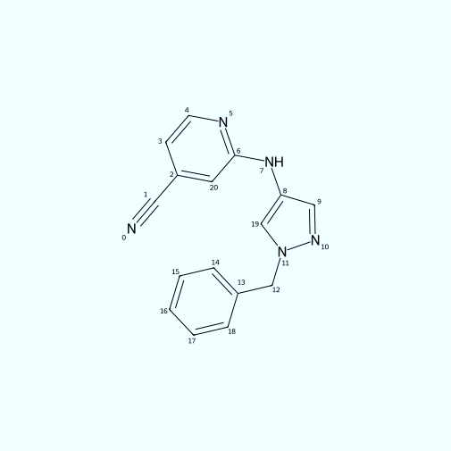 N#Cc1ccnc(Nc2cnn(Cc3ccccc3)c2)c1